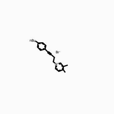 CCCCc1ccc(C#CCC[n+]2ccc(C)c(C)c2)cc1.[Br-]